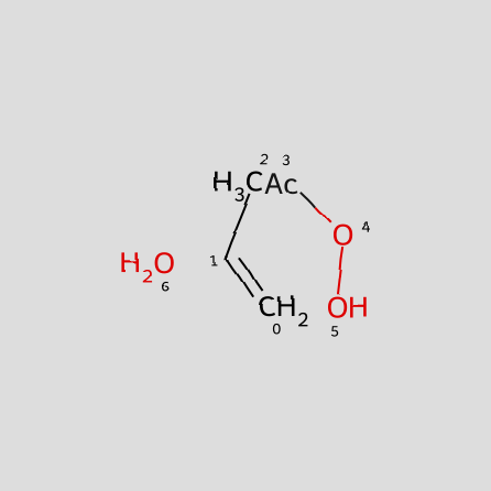 C=CC.CC(=O)OO.O